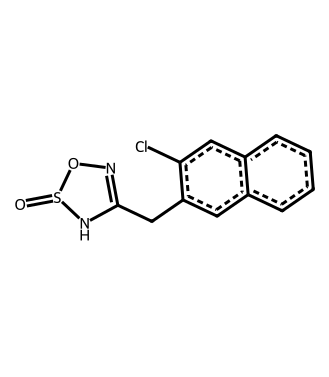 O=S1NC(Cc2cc3ccccc3cc2Cl)=NO1